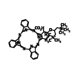 C[N+](C)(C)CC(C[N+](C)(C)C)Oc1ccc2c3nc4nc(nc5[nH]c(nc6nc(nc([nH]3)c2c1C(=O)O)-c1ccccc1-6)c1ccccc51)-c1ccccc1-4